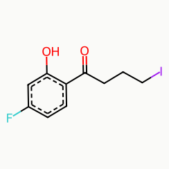 O=C(CCCI)c1ccc(F)cc1O